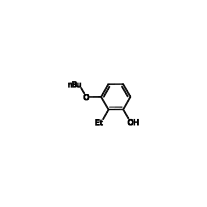 CCCCOc1cccc(O)c1CC